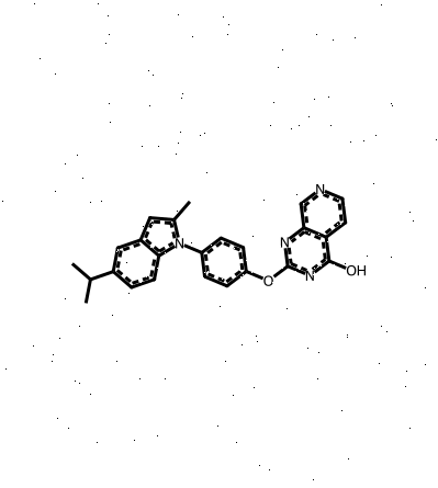 Cc1cc2cc(C(C)C)ccc2n1-c1ccc(Oc2nc(O)c3ccncc3n2)cc1